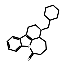 O=C1CCCC2c3c(c4ccccc4n31)CCN2CC1CCCCC1